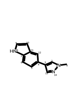 Cn1cc(-c2ccc3[nH]ccc3c2)cn1